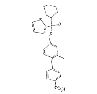 CCC(OCc1ccc(-c2ccc(C(=O)O)cc2)c(C)c1)(c1cccs1)C1CCCCC1